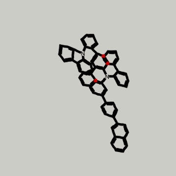 c1ccc(-c2ccccc2N(c2cccc(-c3ccc(-c4ccc5ccccc5c4)cc3)c2)c2ccc(-c3ccccc3-n3c4ccccc4c4ccccc43)cc2-c2ccccc2)cc1